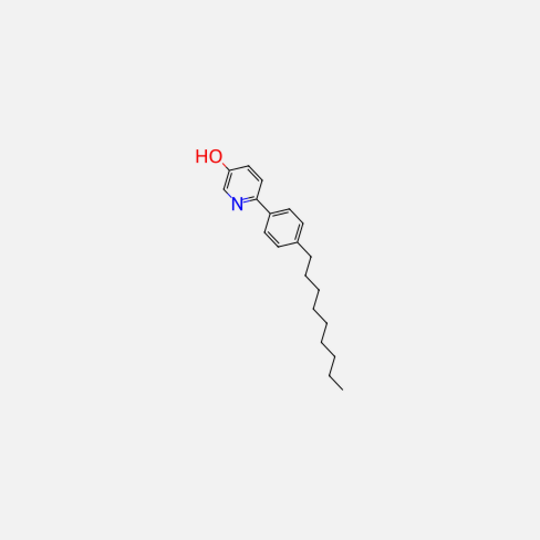 CCCCCCCCCc1ccc(-c2ccc(O)cn2)cc1